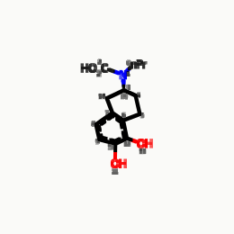 CCCN(C(=O)O)[C@H]1CCc2c(ccc(O)c2O)C1